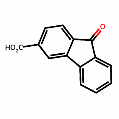 O=C(O)c1ccc2c(c1)-c1ccccc1C2=O